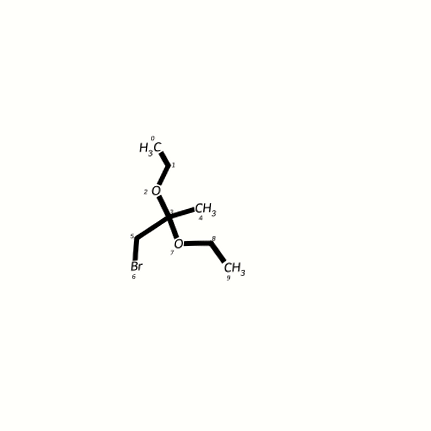 CCOC(C)(CBr)OCC